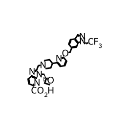 O=C(O)c1ccc2nc(CN3CCC(c4cccc(OCc5ccc6cnn(CC(F)(F)F)c6c5)n4)CC3)n(C[C@@H]3CCO3)c2n1